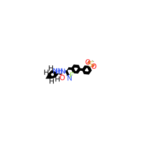 CS(=O)(=O)c1cccc(-c2ccc(C[C@@H](C#N)NC(=O)[C@H]3N[C@H]4C[C@@H]3[C@@H]3C[C@@H]34)c(F)c2)c1